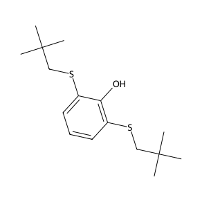 CC(C)(C)CSc1cccc(SCC(C)(C)C)c1O